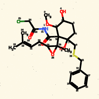 COC1C(O)CCC(O)(CSCc2ccccc2)C1(C(=O)NC(=O)CCl)C1(C)OC1CC=C(C)C